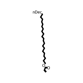 C=CC(=O)OCCCCCCCCCCCCCCCCCCCCCCCCCCCCCCC